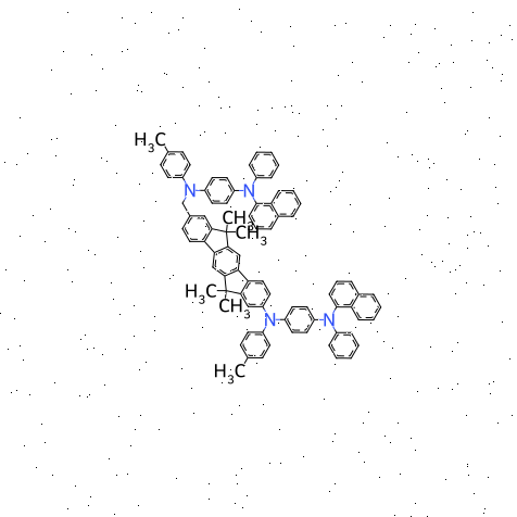 Cc1ccc(N(Cc2ccc3c(c2)C(C)(C)c2cc4c(cc2-3)C(C)(C)c2cc(N(c3ccc(C)cc3)c3ccc(N(c5ccccc5)c5cccc6ccccc56)cc3)ccc2-4)c2ccc(N(c3ccccc3)c3cccc4ccccc34)cc2)cc1